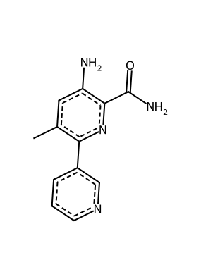 Cc1cc(N)c(C(N)=O)nc1-c1cccnc1